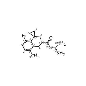 Cc1ccc(F)c2c1CN(C(=O)N=C(N)N)CC21CC1